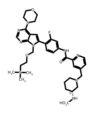 C[Si](C)(C)CCOCn1c(-c2ccc(NC(=O)c3cc(CN4CCC[C@@H](NC(=O)O)C4)ccn3)cc2F)cc2c(N3CCOCC3)ncnc21